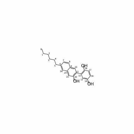 CCCCCCc1ccc2cc(-c3cc(O)ccc3O)c(O)cc2c1